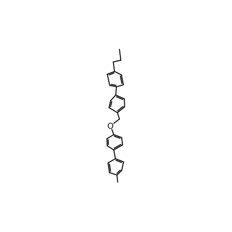 CCCc1ccc(-c2ccc(COc3ccc(-c4ccc(C)cc4)cc3)cc2)cc1